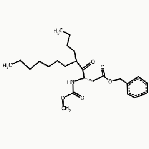 CCCCCCCC(CCCC)C(=O)[C@H](CC(=O)OCc1ccccc1)NC(=O)OC